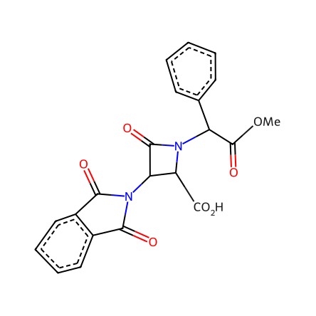 COC(=O)C(c1ccccc1)N1C(=O)C(N2C(=O)c3ccccc3C2=O)C1C(=O)O